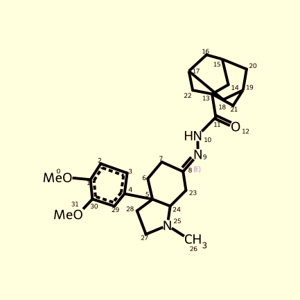 COc1ccc(C23CC/C(=N\NC(=O)C45CC6CC(CC(C6)C4)C5)CC2N(C)CC3)cc1OC